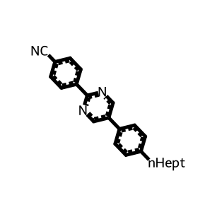 CCCCCCCc1ccc(-c2cnc(-c3ccc(C#N)cc3)nc2)cc1